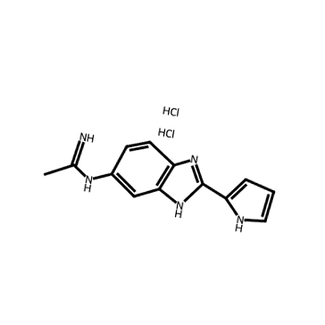 CC(=N)Nc1ccc2nc(-c3ccc[nH]3)[nH]c2c1.Cl.Cl